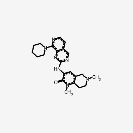 CN1CCc2c(cc(Nc3ncc4ccnc(N5CCCCC5)c4n3)c(=O)n2C)C1